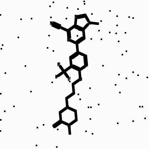 C=C1CN(CCCOc2ccc(-c3cc4c(ncn4C)c(C#N)n3)cc2C(F)(F)F)CCN1C